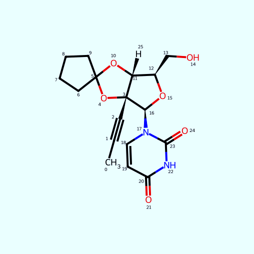 CC#C[C@@]12OC3(CCCC3)O[C@@H]1[C@@H](CO)O[C@H]2n1ccc(=O)[nH]c1=O